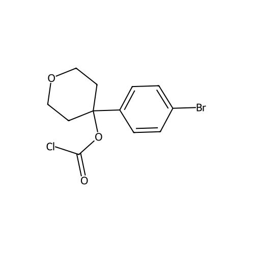 O=C(Cl)OC1(c2ccc(Br)cc2)CCOCC1